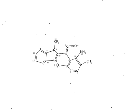 Cc1ccc(C)c(C(=S=O)c2nc3ccccc3n2C(F)(F)F)c1N